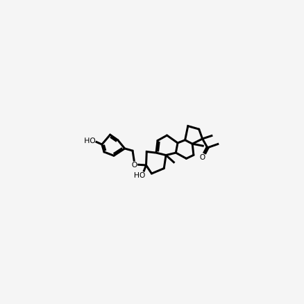 CC(=O)C1(C)CCC2C3CC=C4CC(O)(OCc5ccc(O)cc5)CCC4(C)C3CCC21C